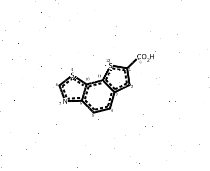 O=C(O)c1cc2ccc3ncsc3c2s1